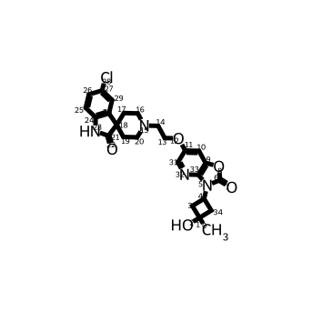 CC1(O)CC(n2c(=O)oc3cc(OCCN4CCC5(CC4)C(=O)Nc4ccc(Cl)cc45)cnc32)C1